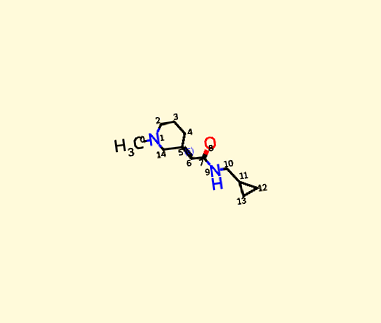 CN1CCC/C(=C\C(=O)NCC2CC2)C1